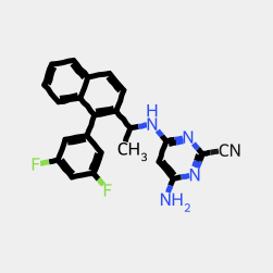 CC(Nc1cc(N)nc(C#N)n1)c1ccc2ccccc2c1-c1cc(F)cc(F)c1